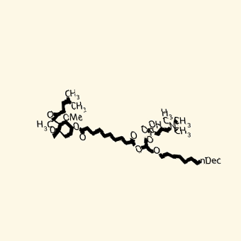 CCCCCCCCCCCCCCCCCOCC(COP(=O)(O)CCC[N+](C)(C)C)OC(=O)CCCCCCCCC(=O)O[C@@H]1CC[C@]2(CO2)[C@@H]([C@@]2(C)OC2CC=C(C)C)[C@@H]1OC